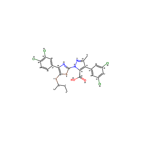 CCC(C)Sc1sc(-n2nc(C)c(-c3cc(Cl)cc(Cl)c3)c2C(=O)O)nc1-c1ccc(Cl)c(Cl)c1